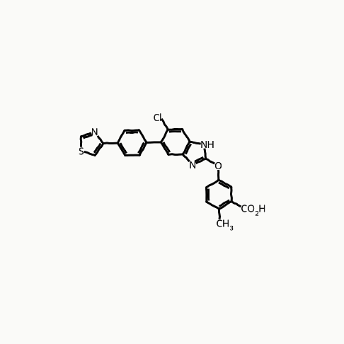 Cc1ccc(Oc2nc3cc(-c4ccc(-c5cscn5)cc4)c(Cl)cc3[nH]2)cc1C(=O)O